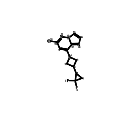 FC1(F)CC1C1CN(c2cc(Cl)nn3ccnc23)C1